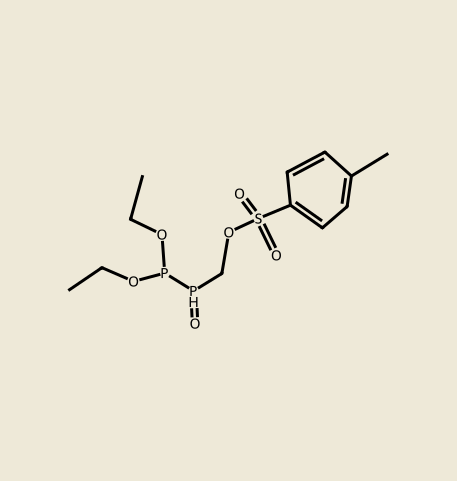 CCOP(OCC)[PH](=O)COS(=O)(=O)c1ccc(C)cc1